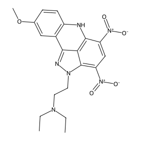 CCN(CC)CCn1nc2c3c(c([N+](=O)[O-])cc([N+](=O)[O-])c31)Nc1ccc(OC)cc1-2